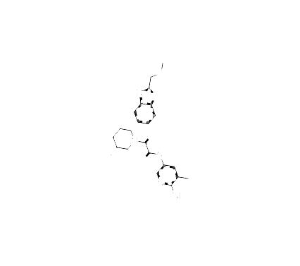 COCc1nc2cc([C@H]3CC[C@H](C)CN3C(=O)C(=O)Nc3cnc(N)c(C)c3)ccc2s1